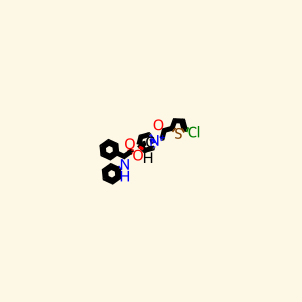 O=C(C[N+]12CCC(CC1)[C@@H](OC(=O)[C@H](Nc1ccccc1)c1ccccc1)C2)C1CC=C(Cl)S1